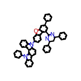 c1ccc(C2=NC(c3cc(-c4ccccc4)cc4oc5cc(-n6c7ccccc7c7c6ccc6c8ccccc8n(-c8ccccc8)c67)ccc5c34)=NC(c3ccccc3)C2)cc1